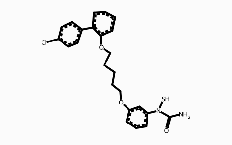 NC(=O)N(S)c1cccc(OCCCCCOc2ccccc2-c2ccc(Cl)cc2)c1